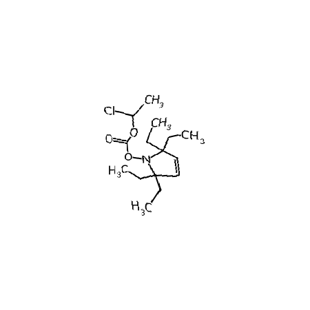 CCC1(CC)C=CC(CC)(CC)N1OC(=O)OC(C)Cl